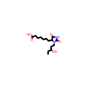 CCC(O)CCN1C(=O)NC(=O)C1CCCCCCC(=O)O